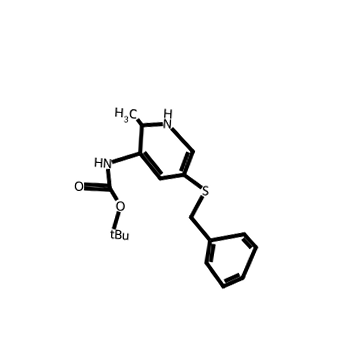 CC1NC=C(SCc2ccccc2)C=C1NC(=O)OC(C)(C)C